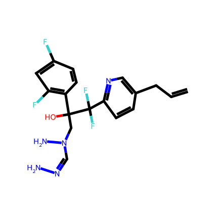 C=CCc1ccc(C(F)(F)C(O)(CN(N)/C=N\N)c2ccc(F)cc2F)nc1